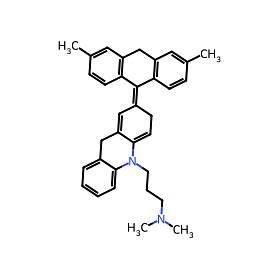 Cc1ccc2c(c1)Cc1cc(C)ccc1C2=C1C=C2Cc3ccccc3N(CCCN(C)C)C2=CC1